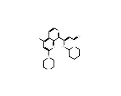 N=C/C=C(\NC1CCCCO1)c1nccc2c(Cl)cc(N3CCOCC3)nc12